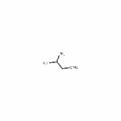 COCC(C)P